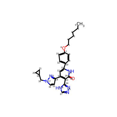 CCCCCCOc1ccc(-c2cc(-c3ccn(CC4CC4)n3)c(-c3nnc[nH]3)c(=O)[nH]2)cc1